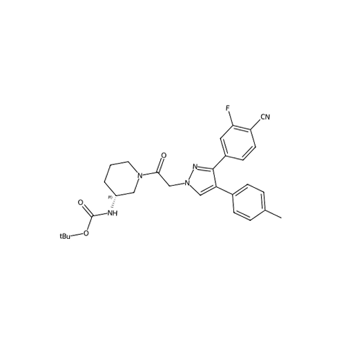 Cc1ccc(-c2cn(CC(=O)N3CCC[C@@H](NC(=O)OC(C)(C)C)C3)nc2-c2ccc(C#N)c(F)c2)cc1